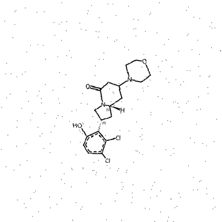 O=C1CC(N2CCOCC2)C[C@@H]2C[C@H](c3c(O)ccc(Cl)c3Cl)CN12